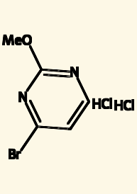 COc1nccc(Br)n1.Cl.Cl